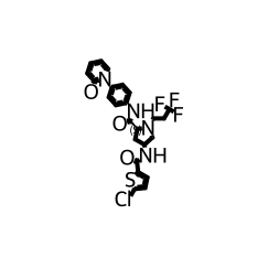 O=C(NC1C[C@@H](C(=O)Nc2ccc(-n3ccccc3=O)cc2)N(CCC(F)(F)F)C1)c1ccc(Cl)s1